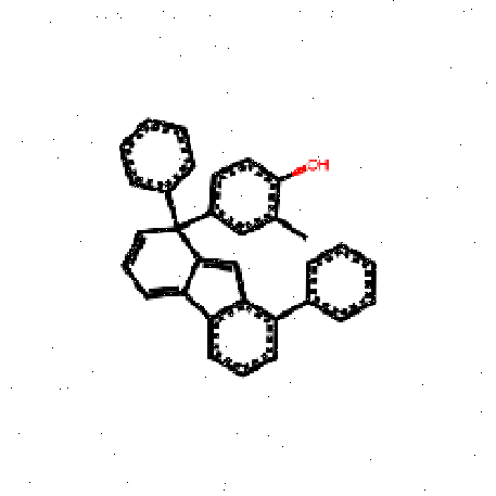 Cc1cc(C2(c3ccccc3)C=CC=C3C2=Cc2c3cccc2-c2ccccc2)ccc1O